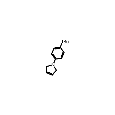 CC(C)(C)c1ccc(N2CC=CC2)cc1